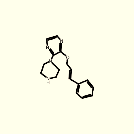 C(=Cc1ccccc1)COc1nccnc1N1CCNCC1